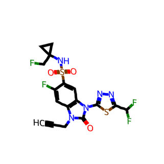 C#CCn1c(=O)n(-c2nnc(C(F)F)s2)c2cc(S(=O)(=O)NC3(CF)CC3)c(F)cc21